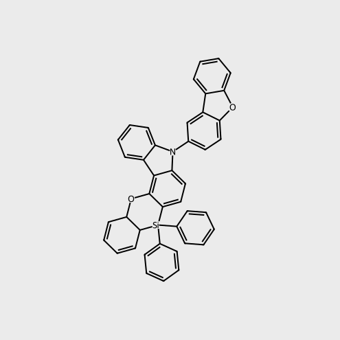 C1=CC2Oc3c(ccc4c3c3ccccc3n4-c3ccc4oc5ccccc5c4c3)[Si](c3ccccc3)(c3ccccc3)C2C=C1